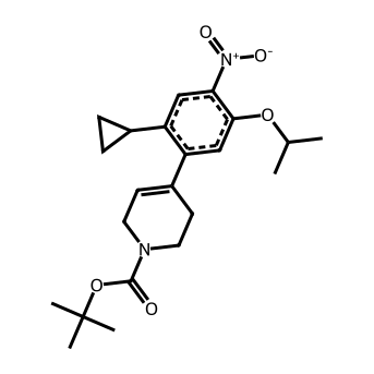 CC(C)Oc1cc(C2=CCN(C(=O)OC(C)(C)C)CC2)c(C2CC2)cc1[N+](=O)[O-]